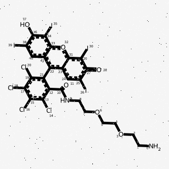 NCCOCCOCCNC(=O)c1c(Cl)c(Cl)c(Cl)c(Cl)c1-c1c2cc(I)c(=O)c(I)c-2oc2c(I)c(O)c(I)cc12